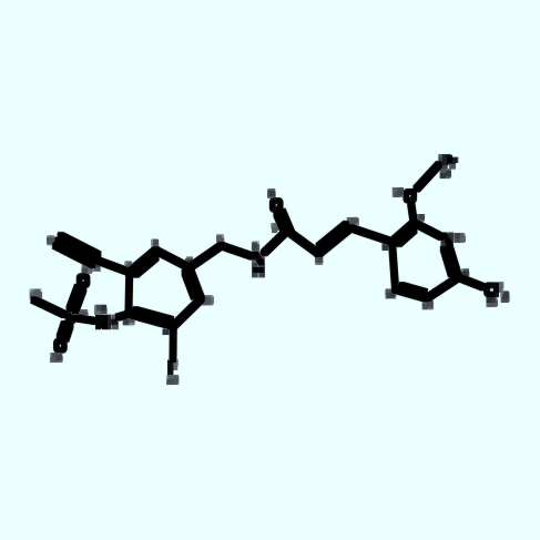 C#Cc1cc(CNC(=O)C=Cc2ccc(C(F)(F)F)nc2OC(C)C)cc(F)c1NS(C)(=O)=O